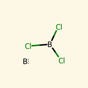 ClB(Cl)Cl.[B]